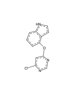 Clc1cc(Oc2cccc3[nH]ccc23)ncn1